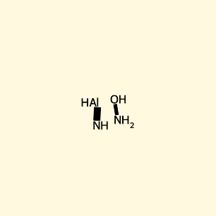 NO.[NH]=[AlH]